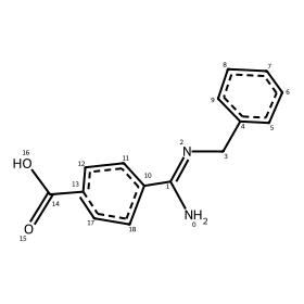 NC(=NCc1ccccc1)c1ccc(C(=O)O)cc1